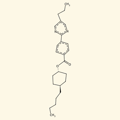 CCCCC[C@H]1CC[C@H](OC(=O)c2ccc(-c3ncc(CCC)cn3)cc2)CC1